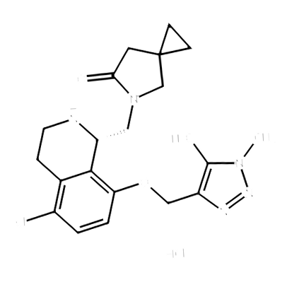 Cc1c(COc2ccc(Cl)c3c2[C@@H](CN2CC4(CC4)CC2=O)NCC3)nnn1C.Cl